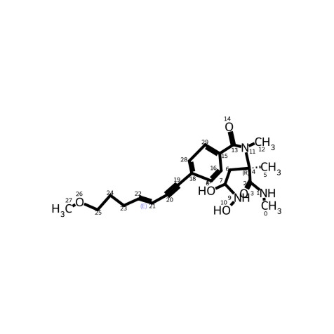 CNC(=O)[C@@](C)(CC(O)NO)N(C)C(=O)c1ccc(C#C/C=C/CCCOC)cc1